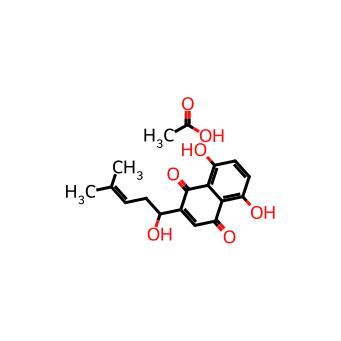 CC(=O)O.CC(C)=CCC(O)C1=CC(=O)c2c(O)ccc(O)c2C1=O